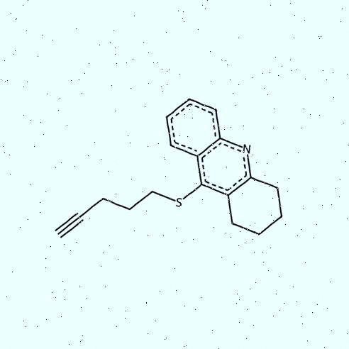 C#CCCCSc1c2c(nc3ccccc13)CCCC2